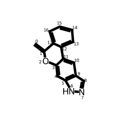 C=C1Oc2cc3[nH]ncc3cc2-c2ccccc21